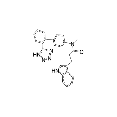 CN(C(=O)CCc1c[nH]c2ccccc12)c1ccc(-c2ccccc2-c2nnn[nH]2)cc1